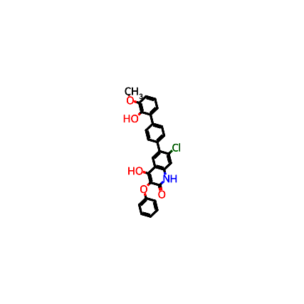 COc1cccc(-c2ccc(-c3cc4c(O)c(Oc5ccccc5)c(=O)[nH]c4cc3Cl)cc2)c1O